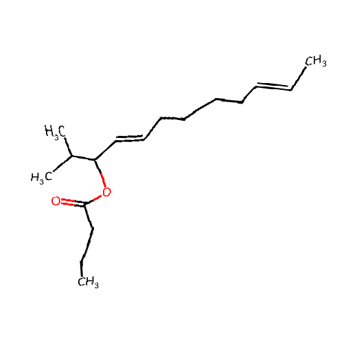 CC=CCCCCC=CC(OC(=O)CCC)C(C)C